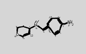 Nc1ccc(CNC2CCOCC2)cc1